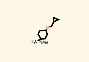 CN[C@]1(C)CC[C@H](OCC2CC2)CC1